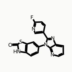 O=c1[nH]c2ccc(-n3c(-c4ccc(F)nc4)nc4cccnc43)cc2s1